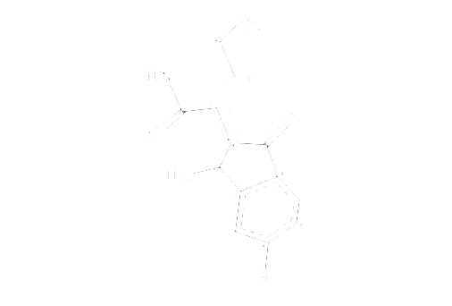 CC1c2cc(Br)ccc2C(=O)N1[C@@H](CCC(=O)O)C(N)=O